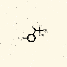 CCC(C)(C)C(=O)c1cccc(N)c1